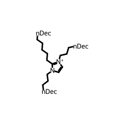 CCCCCCCCCCCCCCCc1n(CCCCCCCCCCCCC)cc[n+]1CCCCCCCCCCCCC